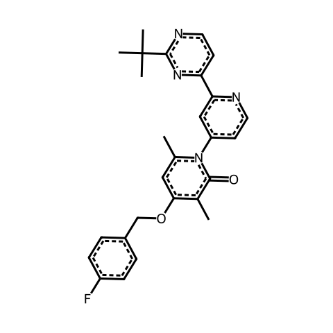 Cc1c(OCc2ccc(F)cc2)cc(C)n(-c2ccnc(-c3ccnc(C(C)(C)C)n3)c2)c1=O